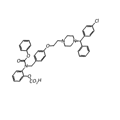 O=C(O)Oc1ccccc1N(Cc1ccc(OCCN2CCN([C@H](c3ccccc3)c3ccc(Cl)cc3)CC2)cc1)C(=O)Oc1ccccc1